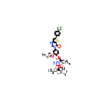 COc1cc(-n2cnc3cc(-c4ccc(Cl)cc4)sc3c2=O)ccc1OC[C@H](C)NC(=O)OC(C)(C)C